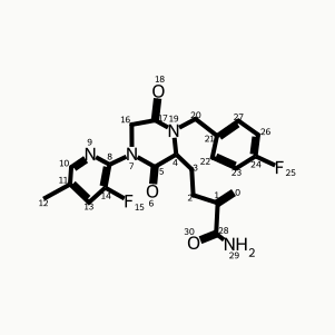 C=C(CCC1C(=O)N(c2ncc(C)cc2F)CC(=O)N1Cc1ccc(F)cc1)C(N)=O